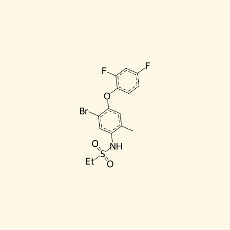 CCS(=O)(=O)Nc1cc(Br)c(Oc2ccc(F)cc2F)cc1C